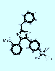 COc1ccccc1-c1nc(Cc2ccccc2)oc1-c1ccc(S(C)(=O)=O)cc1